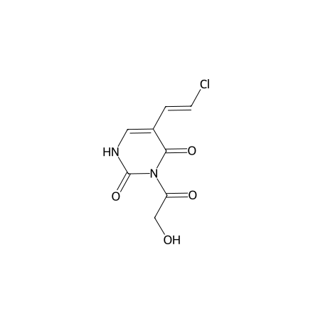 O=C(CO)n1c(=O)[nH]cc(/C=C/Cl)c1=O